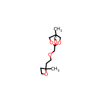 CC12COC(COCCC3(C)CCO3)(OC1)OC2